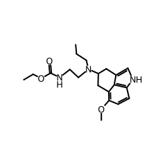 CCCN(CCNC(=O)OCC)C1Cc2c[nH]c3ccc(OC)c(c23)C1